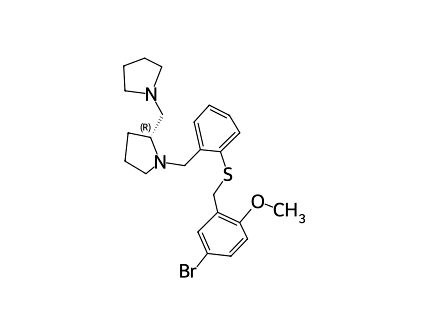 COc1ccc(Br)cc1CSc1ccccc1CN1CCC[C@@H]1CN1CCCC1